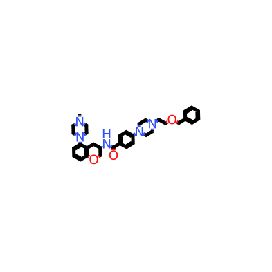 CN1CCN(c2cccc3c2C[C@H](NC(=O)c2ccc(N4CCN(CCOCc5ccccc5)CC4)cc2)CO3)CC1